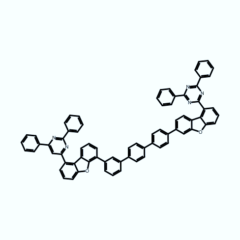 c1ccc(-c2cc(-c3cccc4oc5c(-c6cccc(-c7ccc(-c8ccc(-c9ccc%10c(c9)oc9cccc(-c%11nc(-c%12ccccc%12)nc(-c%12ccccc%12)n%11)c9%10)cc8)cc7)c6)cccc5c34)nc(-c3ccccc3)n2)cc1